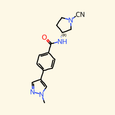 Cn1cc(-c2ccc(C(=O)N[C@@H]3CCN(C#N)C3)cc2)cn1